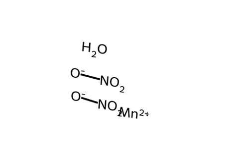 O.O=[N+]([O-])[O-].O=[N+]([O-])[O-].[Mn+2]